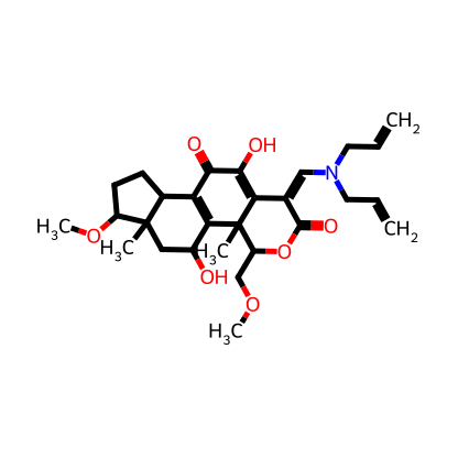 C=CCN(C=C1C(=O)OC(COC)C2(C)C1=C(O)C(=O)C1=C2C(O)CC2(C)C(OC)CCC12)CC=C